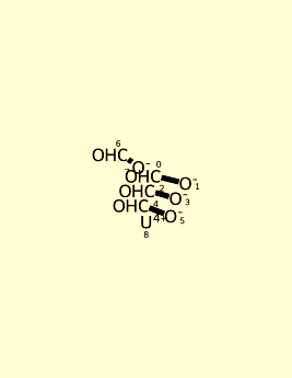 O=C[O-].O=C[O-].O=C[O-].O=C[O-].[U+4]